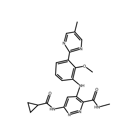 CNC(=O)c1nnc(NC(=O)C2CC2)cc1Nc1cccc(-c2ncc(C)cn2)c1OC